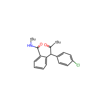 CC(C)(C)NC(=O)c1ccccc1C(C(=O)C(C)(C)C)c1ccc(Cl)cc1